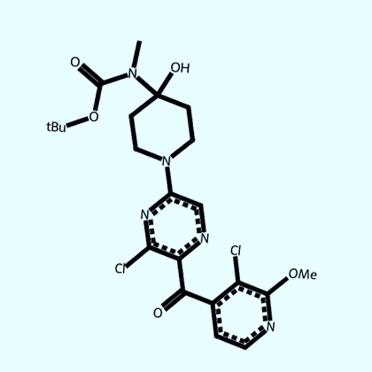 COc1nccc(C(=O)c2ncc(N3CCC(O)(N(C)C(=O)OC(C)(C)C)CC3)nc2Cl)c1Cl